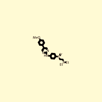 CCN(CC)CC[S+]([O-])c1ccc(Nc2ncc(-c3ccc(OC)cc3)cn2)cc1